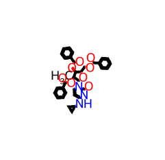 CC1(OC(=O)c2ccccc2)C(OC(=O)c2ccccc2)C(COC(=O)c2ccccc2)OC1n1ccc(NC2CC2)nc1=O